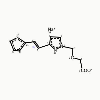 O=C([O-])COCn1ccc(/C=C/c2cccs2)n1.[Na+]